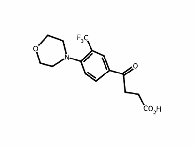 O=C(O)CCC(=O)c1ccc(N2CCOCC2)c(C(F)(F)F)c1